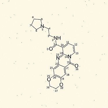 O=C(NCCN1CCCC1)c1cccn2c(=O)c3cc4c(cc3nc12)OCCO4